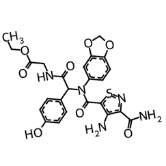 CCOC(=O)CNC(=O)C(c1ccc(O)cc1)N(C(=O)c1snc(C(N)=O)c1N)c1ccc2c(c1)OCO2